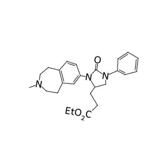 CCOC(=O)CCC1CN(c2ccccc2)C(=O)N1c1ccc2c(c1)CCN(C)CC2